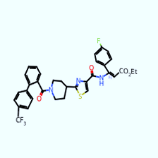 CCOC(=O)/C=C(/NC(=O)c1csc(C2CCN(C(=O)c3ccccc3-c3ccc(C(F)(F)F)cc3)CC2)n1)c1ccc(F)cc1